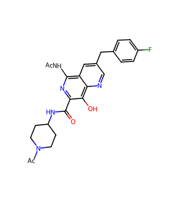 CC(=O)Nc1nc(C(=O)NC2CCN(C(C)=O)CC2)c(O)c2ncc(Cc3ccc(F)cc3)cc12